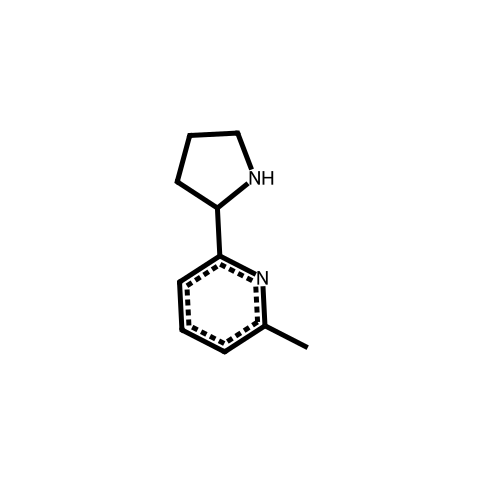 Cc1cccc(C2CCCN2)n1